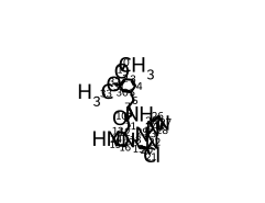 COc1ccc(CCNC(=O)CC2CNCCN2c2cc(Cl)nc(-n3ccnc3)n2)cc1OC